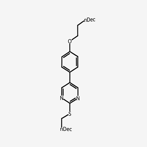 CCCCCCCCCCCCOc1ccc(-c2cnc(SCCCCCCCCCCC)nc2)cc1